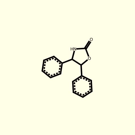 O=C1N[C](c2ccccc2)C(c2ccccc2)O1